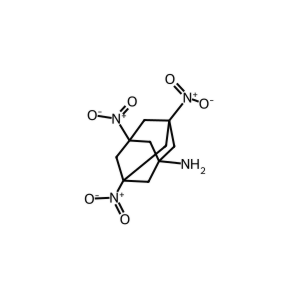 NC12CC3([N+](=O)[O-])CC([N+](=O)[O-])(C1)CC([N+](=O)[O-])(C2)C3